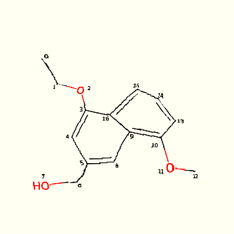 CCOc1cc(CO)cc2c(OC)cccc12